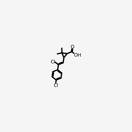 CC1(C)C(/C=C(\Cl)c2ccc(Cl)cc2)C1C(=O)O